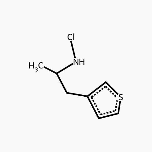 CC(Cc1ccsc1)NCl